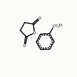 CCOC(=O)c1ccccc1.O=C1CCC(=O)O1